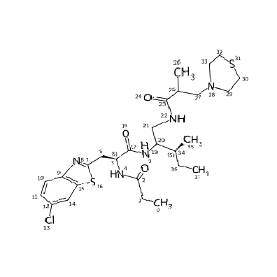 CCC(=O)N[C@@H](Cc1nc2ccc(Cl)cc2s1)C(=O)NC(CNC(=O)C(C)CN1CCSCC1)[C@@H](C)CC